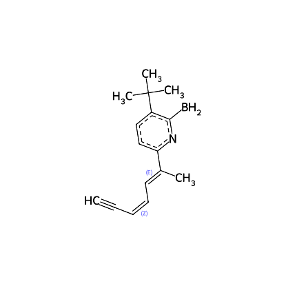 Bc1nc(/C(C)=C/C=C\C#C)ccc1C(C)(C)C